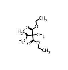 C=C(C)C(C)(C(=O)OCC)C(=O)OCC